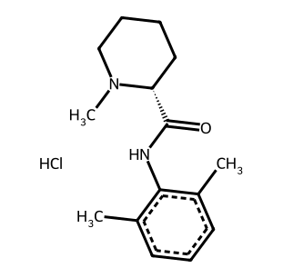 Cc1cccc(C)c1NC(=O)[C@H]1CCCCN1C.Cl